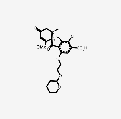 COC1=CC(=O)C[C@@H](C)[C@]12Oc1c(Cl)c(C(=O)O)cc(OCCOC3CCCCO3)c1C2=O